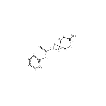 C=C(Cc1ccccc1)N1CC2(CCN(C(C)C)CC2)C1